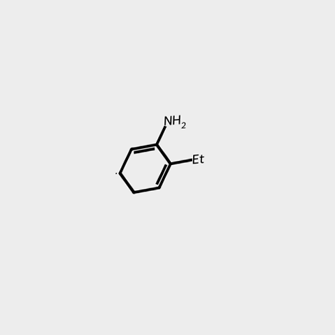 CCC1=CC[CH]C=C1N